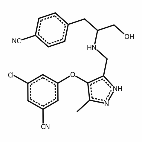 Cc1n[nH]c(CNC(CO)Cc2ccc(C#N)cc2)c1Oc1cc(Cl)cc(C#N)c1